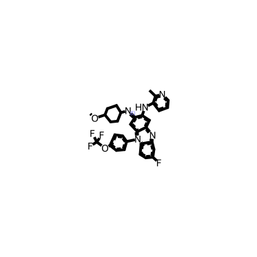 COC1CCC(/N=c2\cc3n(-c4ccc(OC(F)(F)F)cc4)c4ccc(F)cc4nc-3cc2Nc2cccnc2C)CC1